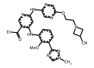 CCC(=O)c1cnc(Nc2cnc(OCCN3CC(C#N)C3)cn2)cc1Nc1cccc(-c2ncn(C)n2)c1OC